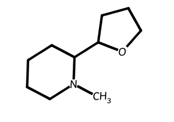 CN1CCCCC1C1CCCO1